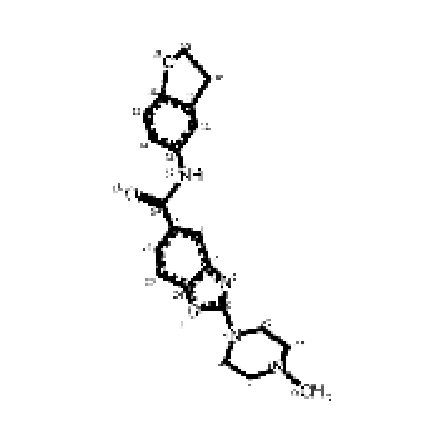 CN1CCN(c2nc3cc(C(=O)Nc4ccc5c(c4)CCO5)ccc3o2)CC1